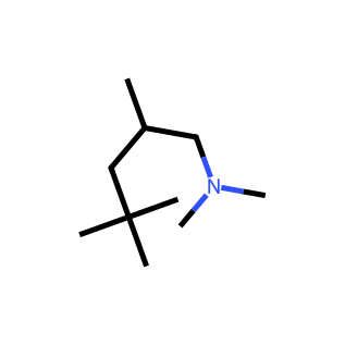 CC(CN(C)C)CC(C)(C)C